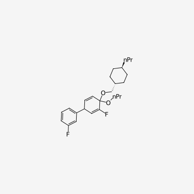 CCCOC1(OC[C@H]2CC[C@H](CCC)CC2)C=CC(c2cccc(F)c2)C=C1F